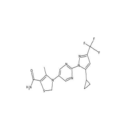 CC1=C(C(N)=O)SCN1c1cnc(-n2nc(C(F)(F)F)cc2C2CC2)nc1